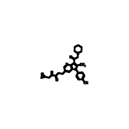 Cc1c(C(=O)CN2CCCCC2)c2ncc(CCC(=O)NCC3CO3)cc2n1-c1ccc(C#N)cc1